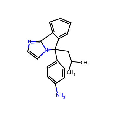 CC(C)CC1(c2ccc(N)cc2)c2ccccc2-c2nccn21